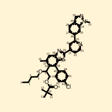 CCCCOC(COC(=O)C(C)(C)C)c1c(C)cc2nc(-c3ccnc(-c4ccc5cnn(C)c5c4)c3)sc2c1-c1ccc(Cl)cc1